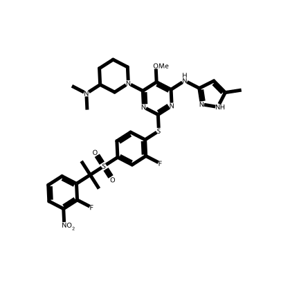 COc1c(Nc2cc(C)[nH]n2)nc(Sc2ccc(S(=O)(=O)C(C)(C)c3cccc([N+](=O)[O-])c3F)cc2F)nc1N1CCCC(N(C)C)C1